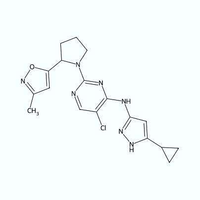 Cc1cc(C2CCCN2c2ncc(Cl)c(Nc3cc(C4CC4)[nH]n3)n2)on1